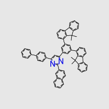 CC1(C)c2ccccc2-c2cccc(-c3cc(-c4cc(-c5ccc(-c6ccccc6)cc5)nc(-c5ccc6ccccc6c5)n4)cc(-c4cccc5c4C(C)(C)c4ccccc4-5)c3)c21